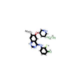 COc1cc2ncnc(Nc3cccc(Cl)c3F)c2cc1O[C@@H]1CCCNC1.Cl.Cl